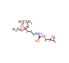 CO[Si](CCCNC(=O)OCC1CO1)(OC)OC